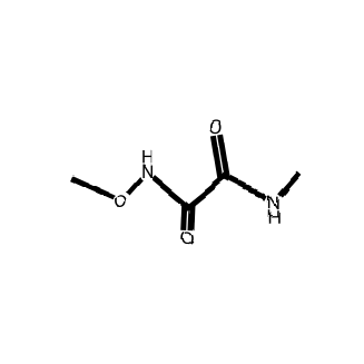 CNC(=O)C(=O)NOC